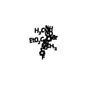 CCOC(=O)c1c(C[S+]([O-])Cc2ccc(F)cc2)n(C)c2cc(Br)c(O)c(Cn3ccnc3C)c12